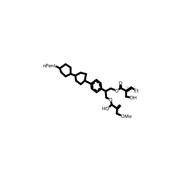 C=C(COC)C(O)OCC(COC(=O)/C(=C/CC)CO)c1ccc(C2CCC(C3CCC(CCCCC)CC3)CC2)cc1